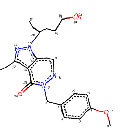 COc1ccc(Cn2ncc3c(c(C)nn3C(C)CCO)c2=O)cc1